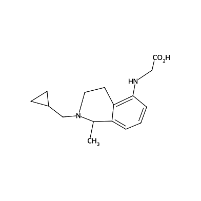 CC1c2cccc(NCC(=O)O)c2CCN1CC1CC1